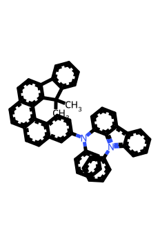 CC1(C)c2ccccc2-c2ccc3ccc4ccc5cc(N(c6ccccc6)c6cccc7c8ccccc8n(-c8ccccc8)c67)ccc5c4c3c21